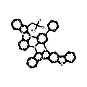 CC(C)(C)Cc1c2ccccc2n2c3cccc4c3n(c12)-c1cc(-c2ccccc2)cc2c1B4c1c3ccccc3n3c4cc5oc6ccccc6c5cc4n-2c13